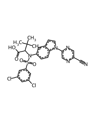 CC(C)(C)C(C(=O)O)N(c1ccc2c(ccn2-c2cnc(C#N)cn2)c1)S(=O)(=O)c1cc(Cl)cc(Cl)c1